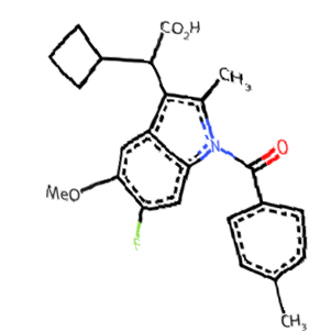 COc1cc2c(C(C(=O)O)C3CCC3)c(C)n(C(=O)c3ccc(C)cc3)c2cc1F